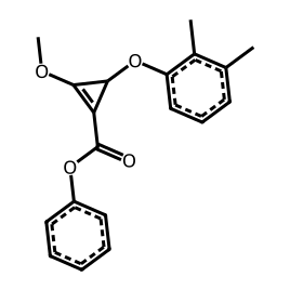 COC1=C(C(=O)Oc2ccccc2)C1Oc1cccc(C)c1C